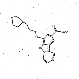 COC(=O)c1cc(OCCCN2CCOCC2)c2[nH]c3ccncc3c2c1